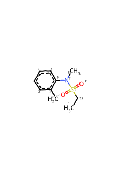 [CH2]c1ccccc1N(C)S(=O)(=O)CC